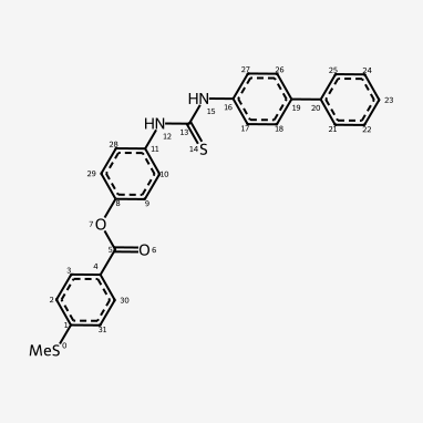 CSc1ccc(C(=O)Oc2ccc(NC(=S)Nc3ccc(-c4ccccc4)cc3)cc2)cc1